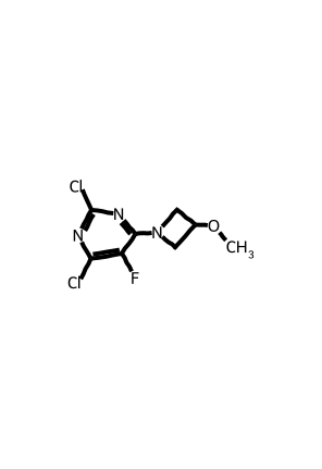 COC1CN(c2nc(Cl)nc(Cl)c2F)C1